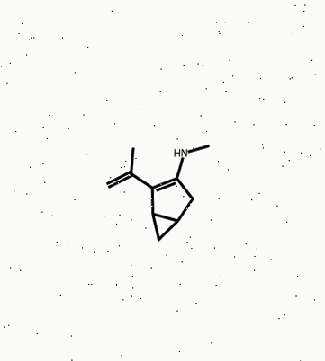 C=C(C)C1=C(NC)CC2CC12